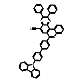 N#Cc1cc2c(-c3ccc(-c4ccc(-n5c6ccccc6c6ccccc65)cc4)cc3)nc3ccccc3c2c2nc(-c3ccccc3)c(-c3ccccc3)nc12